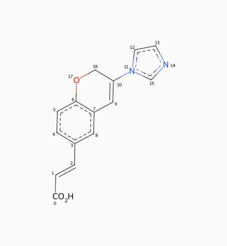 O=C(O)C=Cc1ccc2c(c1)C=C(n1ccnc1)CO2